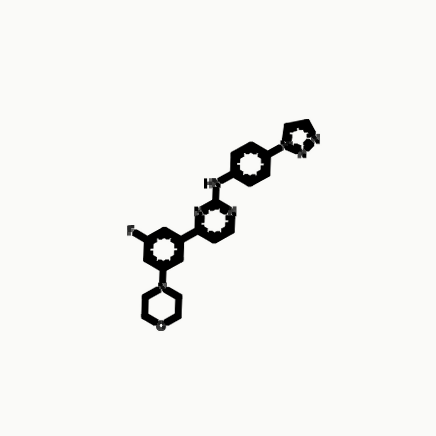 Fc1cc(-c2ccnc(Nc3ccc(-n4ccnn4)cc3)n2)cc(N2CCOCC2)c1